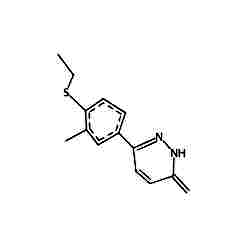 C=C1C=CC(c2ccc(SCC)c(C)c2)=NN1